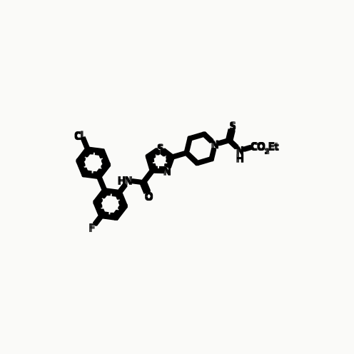 CCOC(=O)NC(=S)N1CCC(c2nc(C(=O)Nc3ccc(F)cc3-c3ccc(Cl)cc3)cs2)CC1